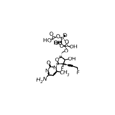 Cc1cc(N)nc(=O)n1[C@@H]1O[C@H](COP(=O)(O)OP(=O)(O)OP(=O)(O)O)C(O)[C@]1(F)C#CCF